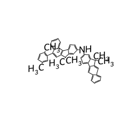 Cc1ccc(C)c(-c2cc3c(c4ccccc24)-c2ccc(Nc4ccc5c(c4)C(C)(C)c4cc6ccccc6cc4-5)cc2C3(C)C)c1